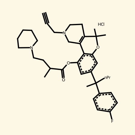 C#CCN1CCC2=C(C1)c1c(OC(=O)C(C)CCN3CCCCC3)cc(C(C)(CCC)c3ccc(F)cc3)cc1OC2(C)C.Cl